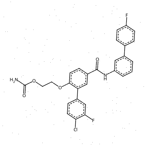 NC(=O)OCCOc1ccc(C(=O)Nc2cccc(-c3ccc(F)cc3)c2)cc1-c1ccc(Cl)c(F)c1